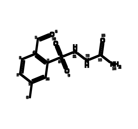 Cc1ccc(C=O)c(S(=O)(=O)NNC(N)=O)c1